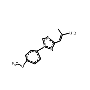 C/C(C=O)=C\c1ncn(-c2ccc(OC(F)(F)F)cc2)n1